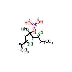 CCCC(CC(Cl)CC(Cl)(Cl)Cl)(CC(Cl)CC(Cl)(Cl)Cl)OP(O)O